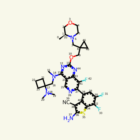 C[C@H]1COCCN1CC1(COc2nc(N(C)CC3(N(C)C)CCC3)c3cnc(-c4cc(F)c(F)c5sc(N)c(C#N)c45)c(F)c3n2)CC1